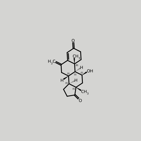 C=C1C[C@@H]2[C@H]([C@@H](O)C[C@]3(C)C(=O)CC[C@@H]23)[C@@]2(C)CCC(=O)C=C12